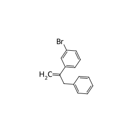 C=C(Cc1ccccc1)c1cccc(Br)c1